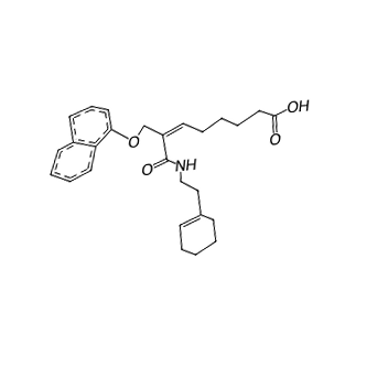 O=C(O)CCCCC=C(COc1cccc2ccccc12)C(=O)NCCC1=CCCCC1